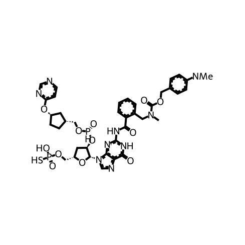 CNc1ccc(COC(=O)N(C)Cc2ccccc2C(=O)Nc2nc3c(ncn3[C@@H]3O[C@H](COP(=O)(O)S)C[C@H]3O[PH](=O)OC[C@@H]3CC[C@H](Oc4ccncn4)C3)c(=O)[nH]2)cc1